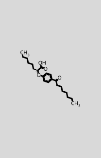 CCCCCCCC(=O)c1ccc(O[C@@H](CCCCCC)C(=O)O)cc1